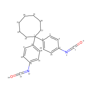 O=C=Nc1ccc(C2(c3ccc(N=C=O)cc3)CCCCCCC2)cc1